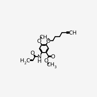 C#CCCCCOc1cc(C(=O)OC)c(NC(=O)C=C)cc1OC